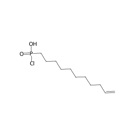 C=CCCCCCCCCCP(=O)(O)Cl